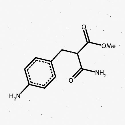 COC(=O)C(Cc1ccc(N)cc1)C(N)=O